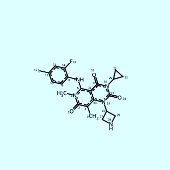 Cc1c(=O)n(C)c(Nc2ccc(I)cc2F)c2c(=O)n(C3CC3)c(=O)n(C3CNC3)c12